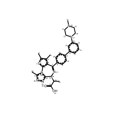 Cc1sc2c(c1C)C(c1ccc(-c3cccc(N4CCN(C)CC4)c3)cc1)=N[C@@H](C(C)C(=O)O)c1nnc(C)n1-2